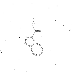 O=C(CCl)c1ncc2ccccn12